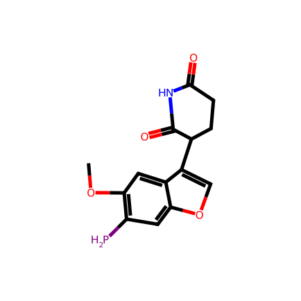 COc1cc2c(C3CCC(=O)NC3=O)coc2cc1P